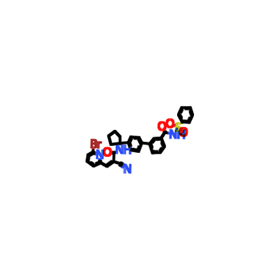 N#CC(=Cc1cccc(Br)n1)C(=O)NC1(c2ccc(-c3cccc(C(=O)NS(=O)(=O)c4ccccc4)c3)cc2)CCCC1